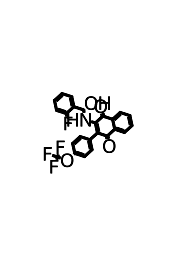 O=C1C(NC(O)c2ccccc2F)=C(c2ccc(OC(F)(F)F)cc2)C(=O)c2ccccc21